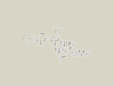 COC(=O)c1cc(C)cnc1Nc1nc(-c2ccc(C(F)(F)F)nc2)c(C(C)C)s1